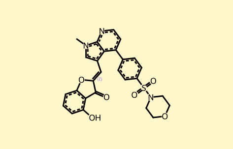 Cn1cc(/C=C2\Oc3cccc(O)c3C2=O)c2c(-c3ccc(S(=O)(=O)N4CCOCC4)cc3)ccnc21